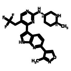 Cc1nocc1-c1ccc2c(-c3nc(N[C@H]4CC[C@H](C)NC4)ncc3CC(F)(F)F)c[nH]c2n1